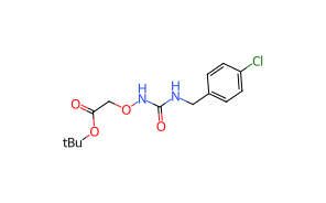 CC(C)(C)OC(=O)CONC(=O)NCc1ccc(Cl)cc1